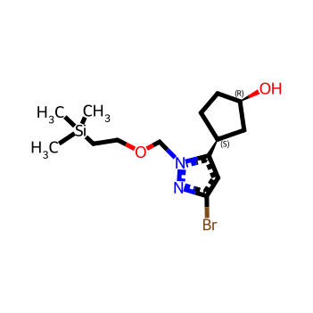 C[Si](C)(C)CCOCn1nc(Br)cc1[C@H]1CC[C@@H](O)C1